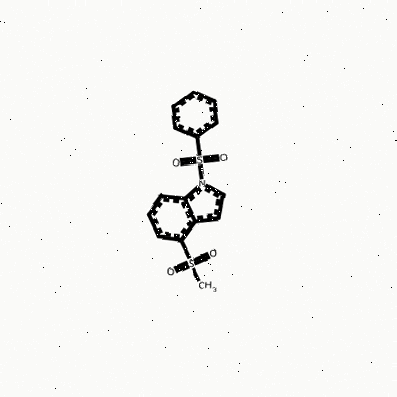 CS(=O)(=O)c1cc[c]c2c1ccn2S(=O)(=O)c1ccccc1